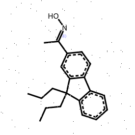 CCCC1(CCC)c2ccccc2-c2ccc(/C(C)=N/O)cc21